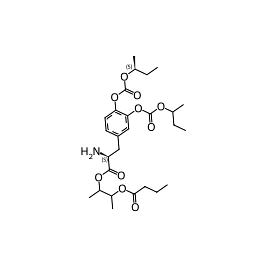 CCCC(=O)OC(C)C(C)OC(=O)[C@@H](N)Cc1ccc(OC(=O)O[C@@H](C)CC)c(OC(=O)OC(C)CC)c1